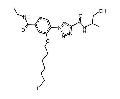 CCNC(=O)c1ccc(-n2cc(C(=O)NC(C)CO)nn2)c(OCCCCCCF)c1